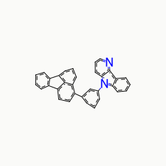 c1cc(-c2ccc3c4c(cccc24)-c2ccccc2-3)cc(-n2c3ccccc3c3ncccc32)c1